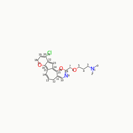 CN(C)CCCOCC1=NC=C2CC=CC3=C4OCC=C(Cl)C4=CC3=C2O1